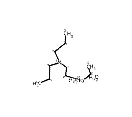 CCCN(CCC)CCC.CCO.O